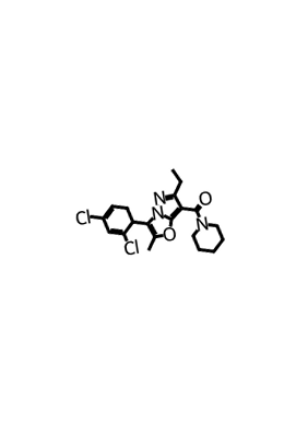 CCc1nn2c(C3CC=C(Cl)C=C3Cl)c(C)oc2c1C(=O)N1CCCCC1